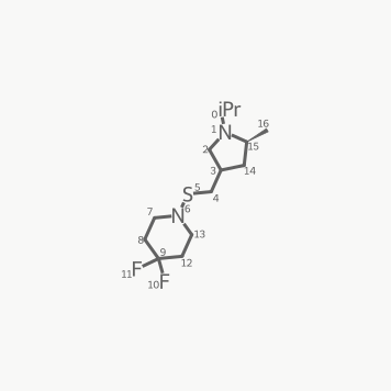 CC(C)N1CC(CSN2CCC(F)(F)CC2)C[C@@H]1C